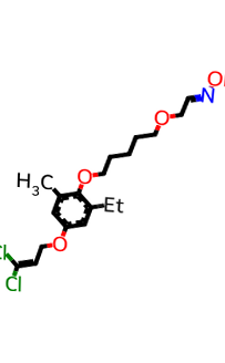 CCc1cc(OCC=C(Cl)Cl)cc(C)c1OCCCCCOCC=NO